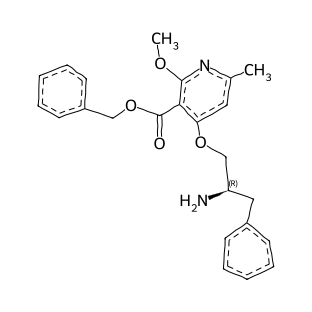 COc1nc(C)cc(OC[C@H](N)Cc2ccccc2)c1C(=O)OCc1ccccc1